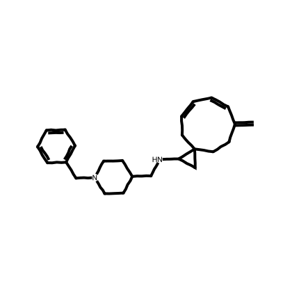 C=C1/C=C\C=C/CC2(CC1)CC2NCC1CCN(Cc2ccccc2)CC1